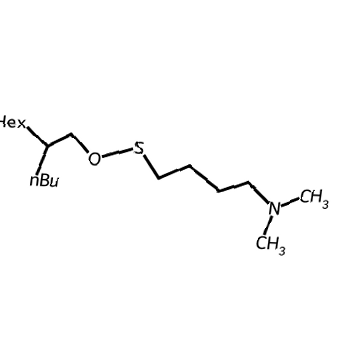 CCCCCCC(CCCC)COSCCCCN(C)C